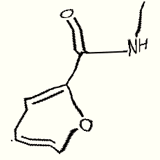 CNC(=O)c1c[c]co1